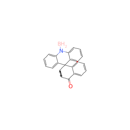 BN1c2ccccc2C2(c3ccccc3C(=O)c3ccccc32)c2ccccc21